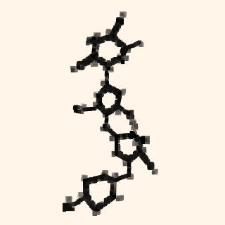 Cc1nn(-c2cc(Cl)c(Oc3cc(Cc4ccc(C#N)cc4)c(=O)[nH]n3)c(Cl)c2)c(=O)[nH]c1=O